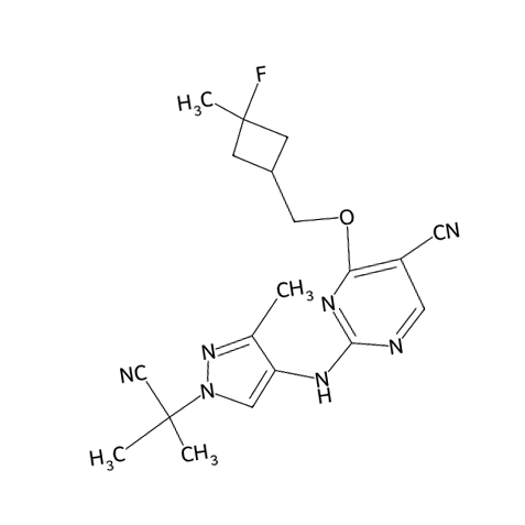 Cc1nn(C(C)(C)C#N)cc1Nc1ncc(C#N)c(OCC2CC(C)(F)C2)n1